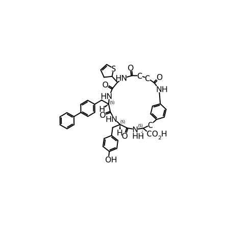 O=C1CCC(=O)NC(C2CC=CS2)C(=O)N[C@@H](Cc2ccc(-c3ccccc3)cc2)C(=O)N[C@@H](Cc2ccc(O)cc2)C(=O)N[C@H](C(=O)O)Cc2ccc(cc2)N1